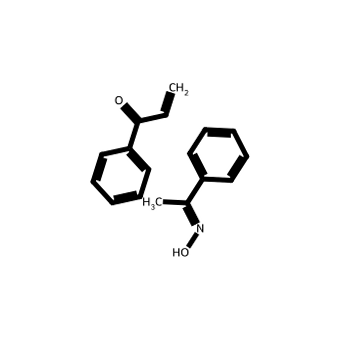 C=CC(=O)c1ccccc1.CC(=NO)c1ccccc1